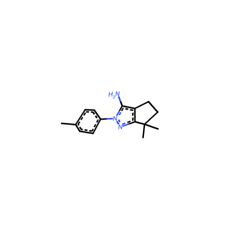 Cc1ccc(-n2nc3c(c2N)CCC3(C)C)cc1